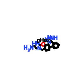 CCCCCCNC(=O)N(CCN)Cc1ccc(-c2ccccc2-c2nnn[nH]2)cc1